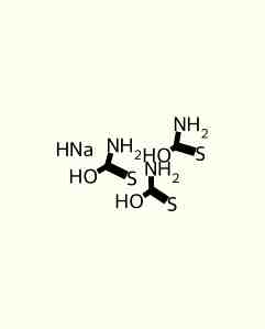 NC(O)=S.NC(O)=S.NC(O)=S.[NaH]